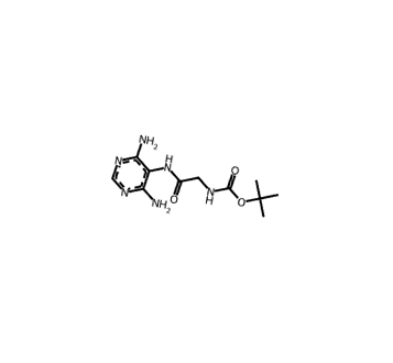 CC(C)(C)OC(=O)NCC(=O)Nc1c(N)ncnc1N